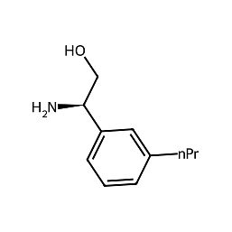 CCCc1cccc([C@@H](N)CO)c1